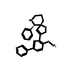 FC(F)(F)Oc1ccc(-c2cncnc2)cc1C1=C[C@@]2(CCCN[C@H]2c2ccccc2)OC1